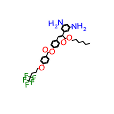 CCCCCCOC(=O)C(=Cc1ccc(OC(=O)c2ccc(OCCCC(F)(F)C(F)(F)F)cc2)cc1)c1cc(N)cc(N)c1